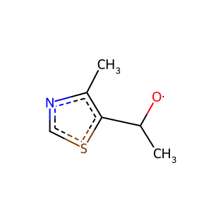 Cc1ncsc1C(C)[O]